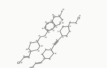 Cl/C=C/C1CCC(C#CC2CCC(CCCl)CC2)CC1.Fc1cc(CCC2CCC(/C=C/Cl)CC2)ccc1OC(F)F